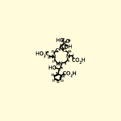 O=C(O)CN1CCN(CC(O)c2ccccc2C(=O)O)CCN(CC(=O)O)CCN(CP(=O)(O)O)CC1